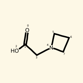 O=C(O)CN1CCC1